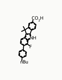 CCCCc1ccc(-c2ccc3c4c([nH]c3c2F)-c2ccc(C(=O)O)cc2C4(C)C)cc1